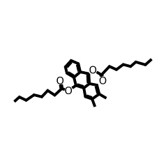 CCCCCCCC(=O)Oc1c2ccccc2c(OC(=O)CCCCCCC)c2cc(C)c(C)cc12